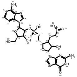 Nc1nc2c(ncn2[C@@H]2O[C@H](COP(=O)(O)OC3C(O)[C@@H](CO)O[C@H]3n3cnc4c(N)ncnc43)C(OC[PH](=O)O)C2O)c(=O)[nH]1